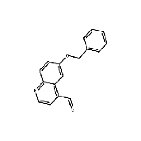 O=Cc1ccnc2ccc(OCc3ccccc3)cc12